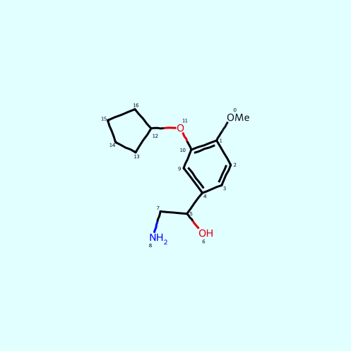 COc1ccc(C(O)CN)cc1OC1CCCC1